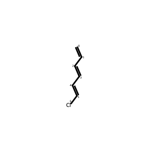 C=CC=CC=CCl